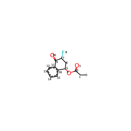 CCC(=O)OC1CC(F)C(=O)c2ccccc21